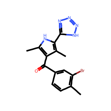 Cc1ccc(C(=O)c2c(C)[nH]c(-c3nnn[nH]3)c2C)cc1Br